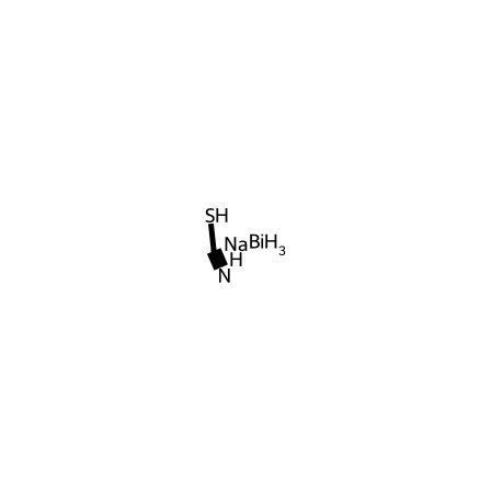 N#CS.[BiH3].[NaH]